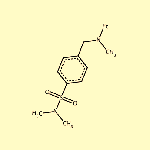 CCN(C)Cc1ccc(S(=O)(=O)N(C)C)cc1